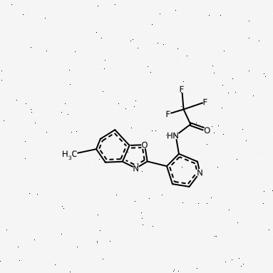 Cc1ccc2oc(-c3ccncc3NC(=O)C(F)(F)F)nc2c1